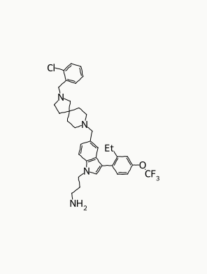 CCc1cc(OC(F)(F)F)ccc1-c1cn(CCCN)c2ccc(CN3CCC4(CC3)CCN(Cc3ccccc3Cl)C4)cc12